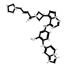 Cc1cc(Nc2ncnn3ccc(C4CN(C(=O)/C=C/CN5CCCC5)C4)c23)ccc1Oc1ccn2ncnc2c1